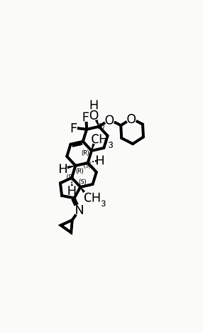 C[C@]12CC[C@@](O)(OC3CCCCO3)C(F)(F)C1=CC[C@@H]1[C@@H]2CC[C@]2(C)C(=NC3CC3)CC[C@@H]12